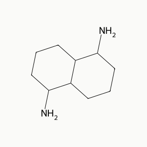 NC1CCCC2C(N)CCCC12